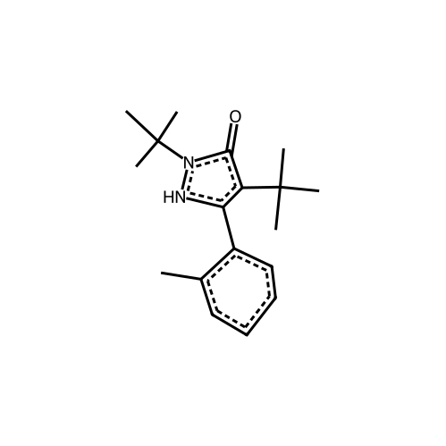 Cc1ccccc1-c1[nH]n(C(C)(C)C)c(=O)c1C(C)(C)C